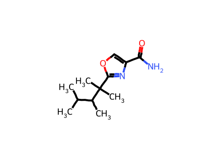 CC(C)C(C)C(C)(C)c1nc(C(N)=O)co1